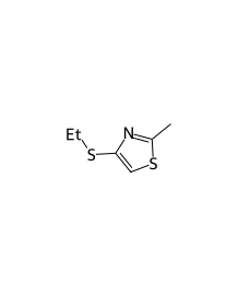 CCSc1csc(C)n1